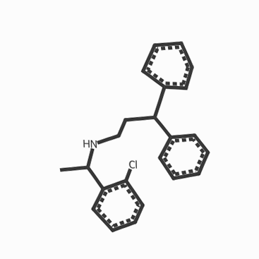 CC(NCCC(c1ccccc1)c1ccccc1)c1ccccc1Cl